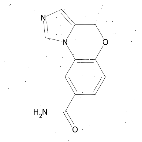 NC(=O)c1ccc2c(c1)-n1cncc1CO2